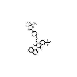 CC(C)(C)OC(=O)N1CCN(CCn2c(=O)n(-c3cncc4ccccc34)c(=O)c3cc(C(F)(F)F)ccc32)CC1